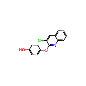 Oc1ccc(Oc2nc3ccccc3cc2Cl)cc1